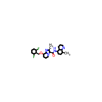 Cc1nc2c(OCc3c(F)cccc3F)cccn2c1C(=O)Nc1ccc(C)c2ncccc12